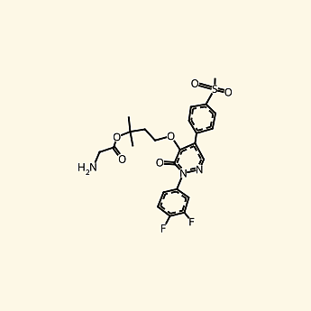 CC(C)(CCOc1c(-c2ccc(S(C)(=O)=O)cc2)cnn(-c2ccc(F)c(F)c2)c1=O)OC(=O)CN